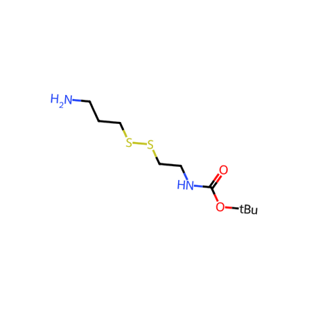 CC(C)(C)OC(=O)NCCSSCCCN